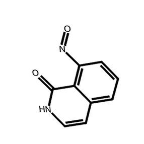 O=Nc1cccc2cc[nH]c(=O)c12